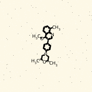 COc1c(-c2ccc(N3C[C@@H](C)O[C@@H](C)C3)cc2)cnc2c(C)cccc12